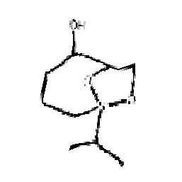 CC(C)[Si]12CCCC(O)C(CO1)O2